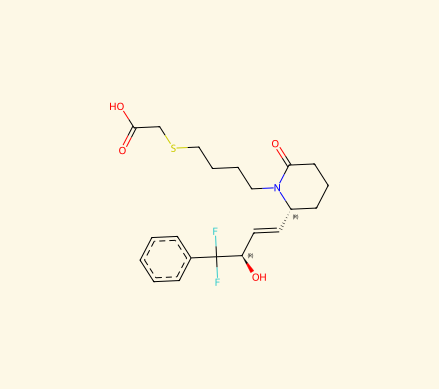 O=C(O)CSCCCCN1C(=O)CCC[C@@H]1C=C[C@@H](O)C(F)(F)c1ccccc1